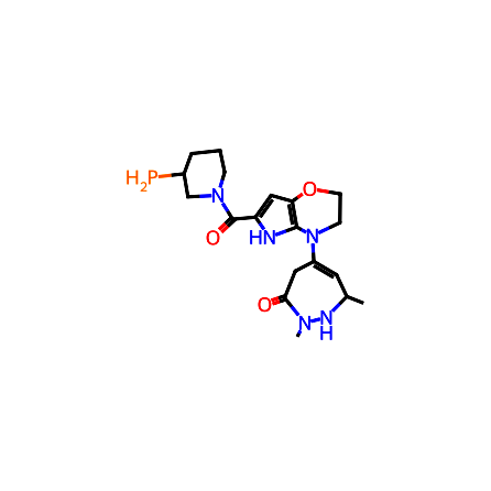 CC1C=C(N2CCOc3cc(C(=O)N4CCCC(P)C4)[nH]c32)CC(=O)N(C)N1